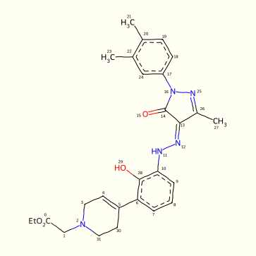 CCOC(=O)CN1CC=C(c2cccc(NN=C3C(=O)N(c4ccc(C)c(C)c4)N=C3C)c2O)CC1